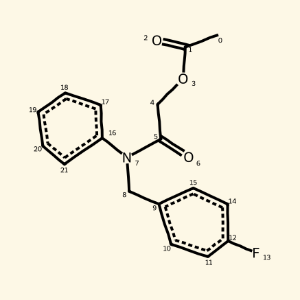 CC(=O)OCC(=O)N(Cc1ccc(F)cc1)c1ccccc1